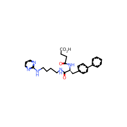 O=C(O)CCC(=O)N[C@@H](Cc1ccc(-c2ccccc2)cc1)C(=O)NCCCCNc1ncccn1